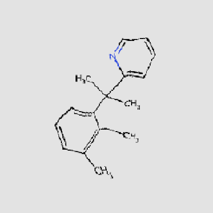 Cc1cccc(C(C)(C)c2ccccn2)c1C